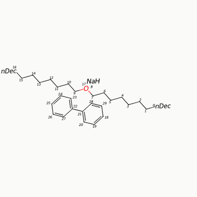 CCCCCCCCCCCCCCCCCOCCCCCCCCCCCCCCCCC.[NaH].c1ccc(-c2ccccc2)cc1